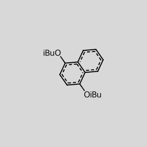 CC(C)COc1ccc(OCC(C)C)c2ccccc12